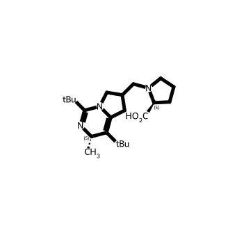 C[C@@H]1N=C(C(C)(C)C)N2CC(CN3CCC[C@H]3C(=O)O)CC2=C1C(C)(C)C